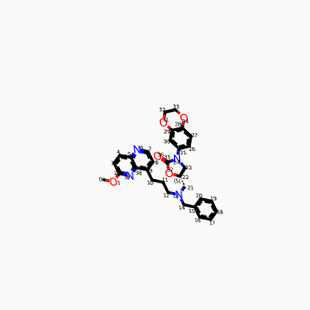 COc1ccc2nccc(CCCN(Cc3ccccc3)C[C@H]3CN(c4ccc5c(c4)OCCO5)C(=O)O3)c2n1